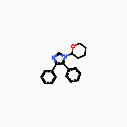 c1ccc(-c2ncn(C3CCCCO3)c2-c2ccccc2)cc1